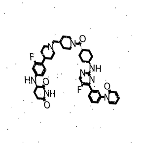 O=C1CC[C@@H](Nc2ccc(C3CCN(CC4CCN(C(=O)[C@H]5CC[C@H](Nc6ncc(F)c(-c7cccc(-n8ccccc8=O)c7)n6)CC5)CC4)CC3)c(F)c2)C(=O)N1